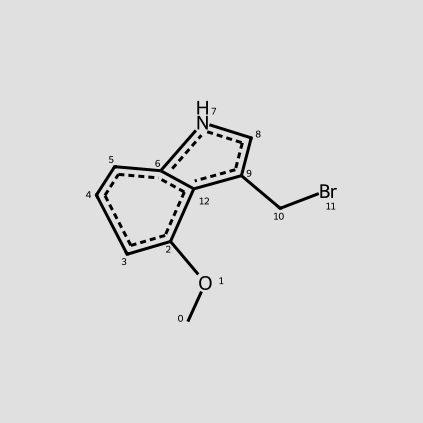 COc1cccc2[nH]cc(CBr)c12